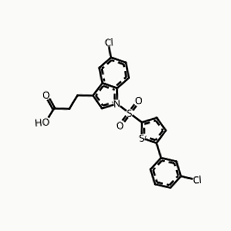 O=C(O)CCc1cn(S(=O)(=O)c2ccc(-c3cccc(Cl)c3)s2)c2ccc(Cl)cc12